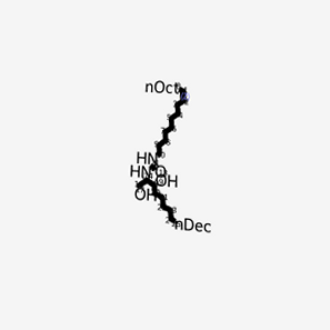 CCCCCCCC/C=C\CCCCCCCCNC(=O)NC(CO)C(O)CCCCCCCCCCCCCCC